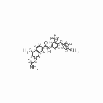 C[C@H]1CN(CC(N)=O)Cc2cc(C(=O)Nc3ccc(CN4CC5CCC4CN5C)c(C(F)(F)F)c3)ccc21